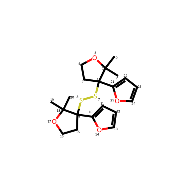 CC1(C)OCCC1(SSC1(c2ccco2)CCOC1(C)C)c1ccco1